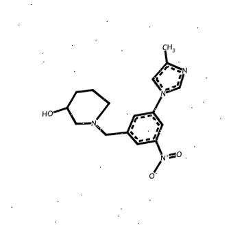 Cc1cn(-c2cc(CN3CCCC(O)C3)cc([N+](=O)[O-])c2)cn1